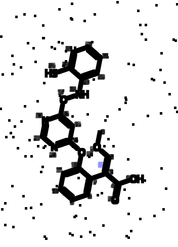 CO/C=C(/C(=O)O)c1ccccc1Oc1cc(ONc2ccccc2S)ncn1